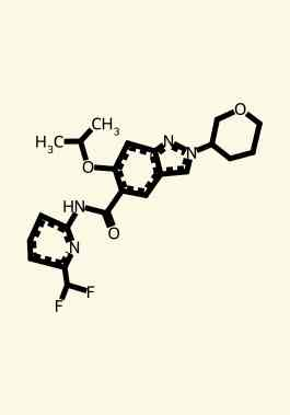 CC(C)Oc1cc2nn(C3CCCOC3)cc2cc1C(=O)Nc1cccc(C(F)F)n1